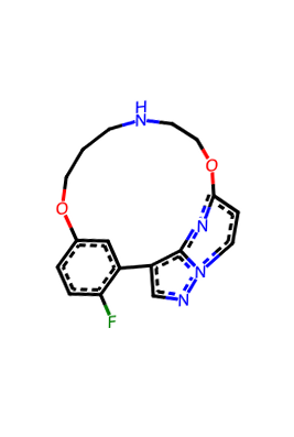 Fc1ccc2cc1-c1cnn3ccc(nc13)OCCNCCCO2